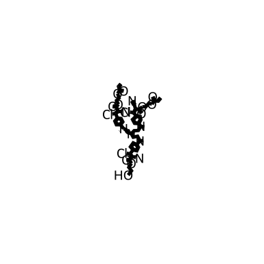 C=CC(=O)OCCOC(=O)/C(C#N)=C(\Cl)c1ccc(N(C)CCN(CCN(C)c2ccc(/C(Cl)=C(\C#N)C(=O)OCCO)cc2)CCN(C)c2ccc(/C(Cl)=C(/C#N)C(=O)OCCOC(=O)C=C)cc2)cc1